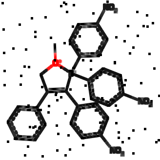 C[O+]1CC(c2ccccc2)=C(c2ccc([N+](=O)[O-])cc2)[B-]1(c1ccc([N+](=O)[O-])cc1)c1ccc([N+](=O)[O-])cc1